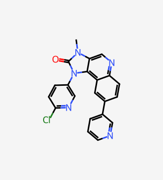 Cn1c(=O)n(-c2ccc(Cl)nc2)c2c3cc(-c4cccnc4)ccc3ncc21